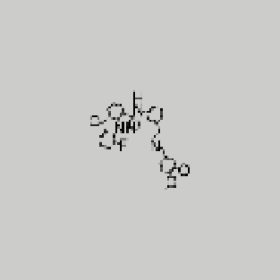 COc1ccc(CN(C)CCc2cccc(NC(=O)c3cccc4c(=O)c5cccc(F)c5[nH]c34)c2)cc1OC